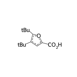 CC(C)(C)c1cc(C(=O)O)oc1C(C)(C)C